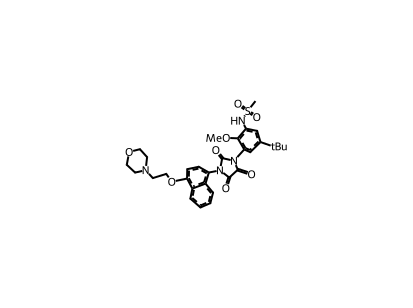 COc1c(NS(C)(=O)=O)cc(C(C)(C)C)cc1N1C(=O)C(=O)N(c2ccc(OCCN3CCOCC3)c3ccccc23)C1=O